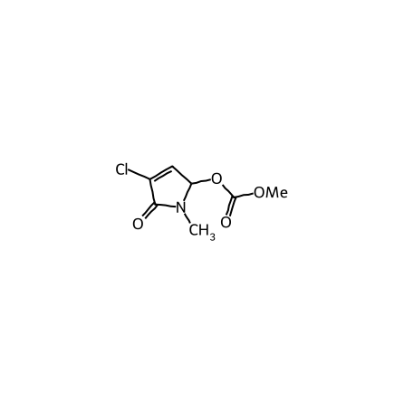 COC(=O)OC1C=C(Cl)C(=O)N1C